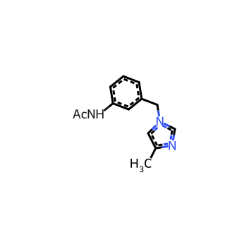 CC(=O)Nc1cccc(Cn2cnc(C)c2)c1